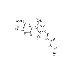 COc1cc(-n2c(C)cc(CCC(=O)CCC(C)=O)c2C)ncc1Br